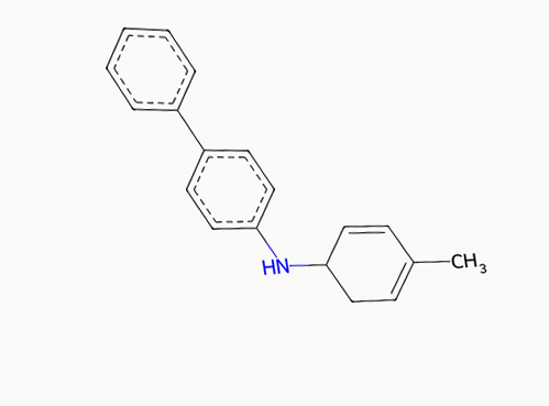 CC1=CCC(Nc2ccc(-c3ccccc3)cc2)C=C1